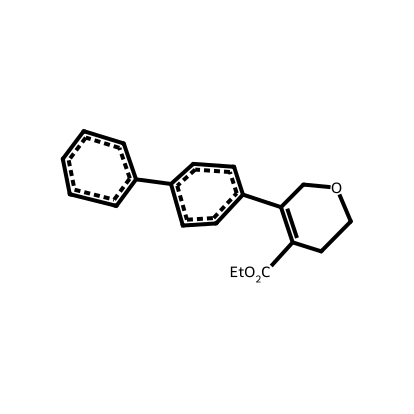 CCOC(=O)C1=C(c2ccc(-c3ccccc3)cc2)COCC1